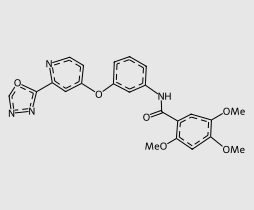 COc1cc(OC)c(C(=O)Nc2cccc(Oc3ccnc(-c4nnco4)c3)c2)cc1OC